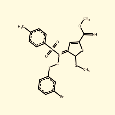 COC(=N)C1=CC(=[N+](OSc2cccc(Br)c2)S(=O)(=O)c2ccc(C)cc2)C(SC)S1